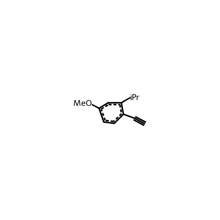 C#Cc1ccc(OC)cc1C(C)C